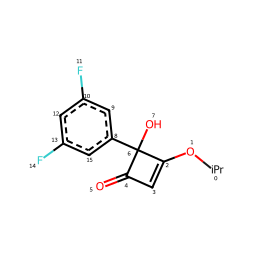 CC(C)OC1=CC(=O)C1(O)c1cc(F)cc(F)c1